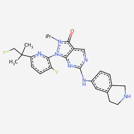 CC(C)n1c(=O)c2cnc(Nc3ccc4c(c3)CCNC4)nc2n1-c1nc(C(C)(C)CF)ccc1F